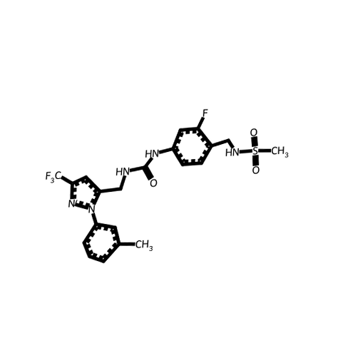 Cc1cccc(-n2nc(C(F)(F)F)cc2CNC(=O)Nc2ccc(CNS(C)(=O)=O)c(F)c2)c1